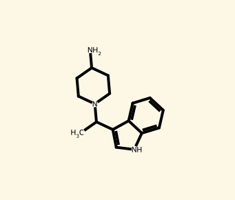 CC(c1c[nH]c2ccccc12)N1CCC(N)CC1